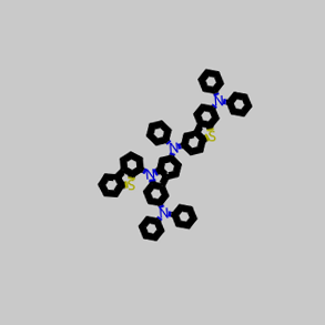 c1ccc(N(c2ccccc2)c2ccc3c(c2)sc2ccc(N(c4ccccc4)c4ccc5c6cc(N(c7ccccc7)c7ccccc7)ccc6n(-c6cccc7c6sc6ccccc67)c5c4)cc23)cc1